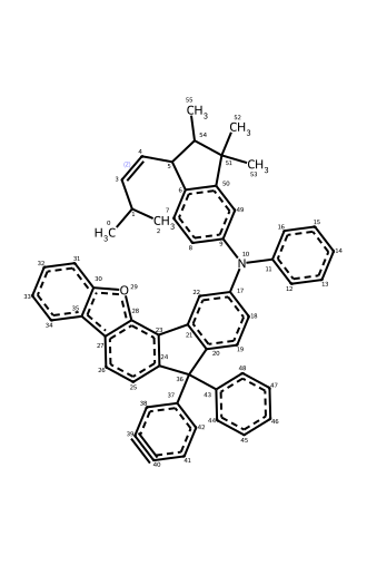 CC(C)/C=C\C1c2ccc(N(c3ccccc3)c3ccc4c(c3)-c3c(ccc5c3oc3ccccc35)C4(c3cc#ccc3)c3ccccc3)cc2C(C)(C)C1C